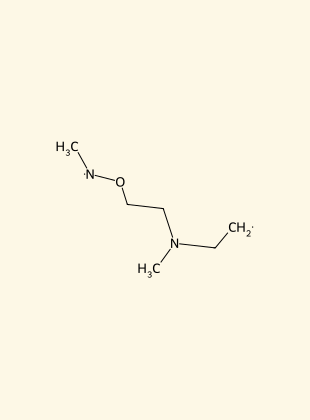 [CH2]CN(C)CCO[N]C